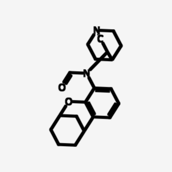 O=CN(c1cccc2c1OC1CCCC2C1)C1CN2CCC1CC2